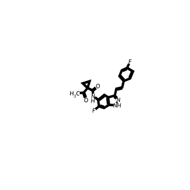 CC(=O)C1(C(=O)Nc2cc3c(/C=C/c4ccc(F)cc4)n[nH]c3cc2F)CC1